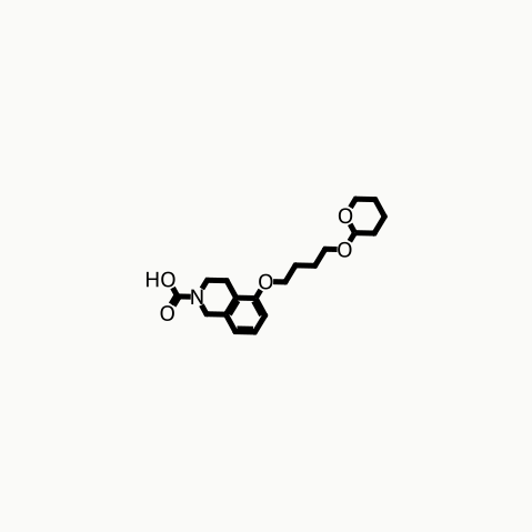 O=C(O)N1CCc2c(cccc2OCCCCOC2CCCCO2)C1